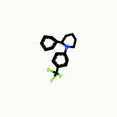 FC(F)(F)c1ccc(N2CCCCC2c2ccccc2)cc1